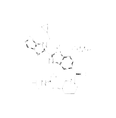 COc1cc(C(=O)N2C[C@H](OC(N)=O)CC[C@H]2C)cc2nc(-c3cc4ccsc4n3CC3CC3)n(C)c12